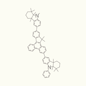 CN1c2ccc(-c3ccc4c(c3)C(C)(C)c3c-4c4ccccc4c4cc(-c5ccc6c(c5)C5(C)CCCC(C)(C)C5(C)N6c5ccccc5)ccc34)cc2C2(C)CCCC(C)(C)C12C